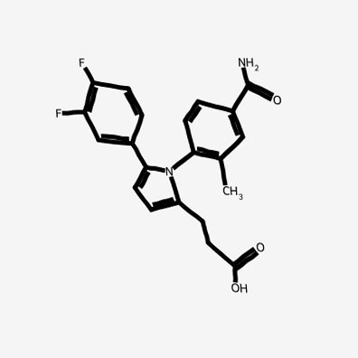 Cc1cc(C(N)=O)ccc1-n1c(CCC(=O)O)ccc1-c1ccc(F)c(F)c1